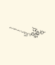 CCCCCCCCCCCCOCC(O)COc1ccc(N2C=NC(c3ccc(C)cc3C)=NC2c2ccc(C)cc2C)c(O)c1